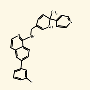 CC1(c2ccncc2)C=CC(CNc2nccc3cc(-c4cccc(F)c4)ccc23)=CN1